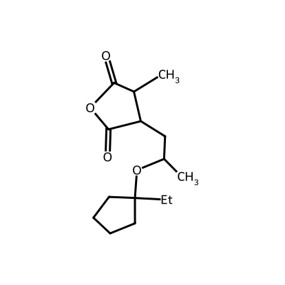 CCC1(OC(C)CC2C(=O)OC(=O)C2C)CCCC1